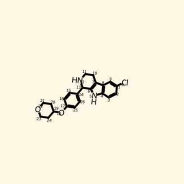 Clc1ccc2[nH]c3c(c2c1)CCNC3c1ccc(OC2CCOCC2)cc1